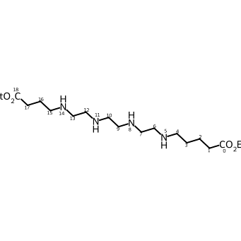 CCOC(=O)CCCCNCCNCCNCCNCCCC(=O)OCC